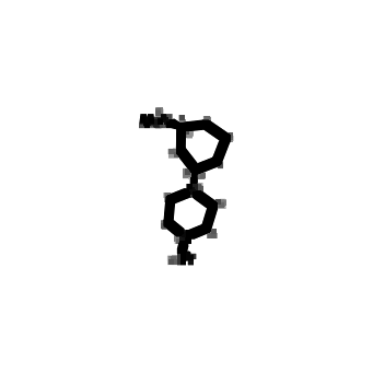 CN[C@H]1CCC[C@H](N2CCN(C(C)C)CC2)C1